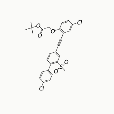 CC(C)(C)OC(=O)COc1ccc(Cl)cc1C#Cc1ccc(-c2ccc(Cl)cc2)c(S(C)(=O)=O)c1